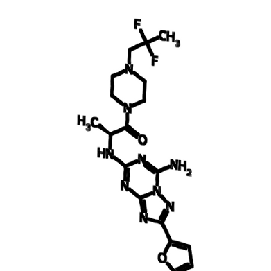 C[C@H](Nc1nc(N)n2nc(-c3ccco3)nc2n1)C(=O)N1CCN(CC(C)(F)F)CC1